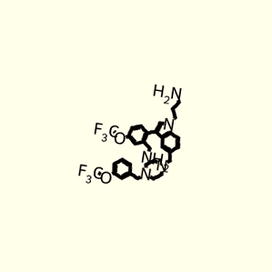 NCCCn1cc(-c2ccc(OC(F)(F)F)cc2CN)c2cc(CN3CCN(Cc4cccc(OC(F)(F)F)c4)CC3)ccc21